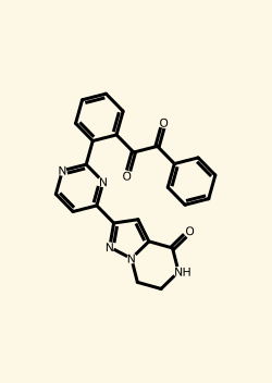 O=C(C(=O)c1ccccc1-c1nccc(-c2cc3n(n2)CCNC3=O)n1)c1ccccc1